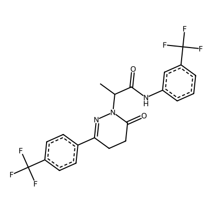 CC(C(=O)Nc1cccc(C(F)(F)F)c1)N1N=C(c2ccc(C(F)(F)F)cc2)CCC1=O